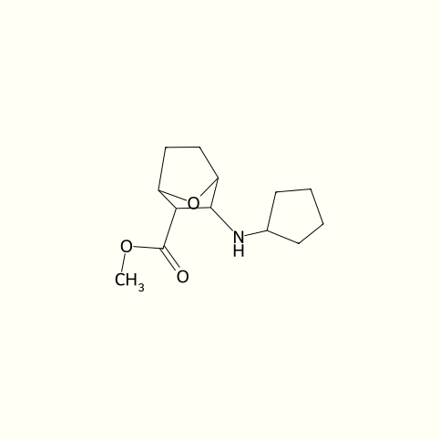 COC(=O)C1C2CCC(O2)C1NC1CCCC1